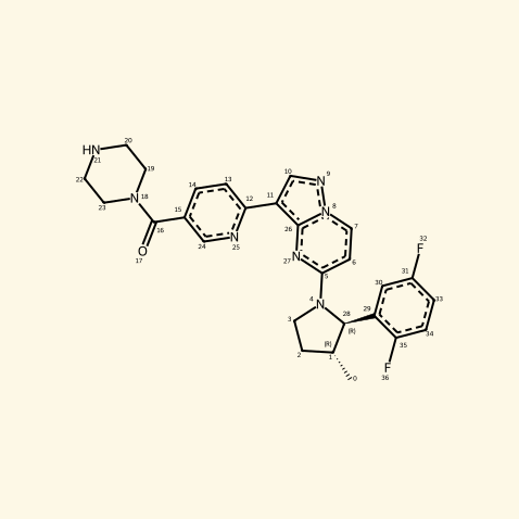 C[C@@H]1CCN(c2ccn3ncc(-c4ccc(C(=O)N5CCNCC5)cn4)c3n2)[C@H]1c1cc(F)ccc1F